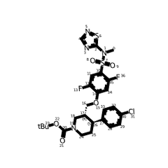 CN(c1ncns1)S(=O)(=O)c1cc(F)c(OC[C@H]2CN(C(=O)OC(C)(C)C)CC[C@@H]2c2ccc(Cl)cc2)cc1F